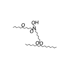 CCCCCCCCC(CCCCCCCC)OC(=O)CCCCCCCN(CCO)C(=O)CCCCC(=O)CCCCC